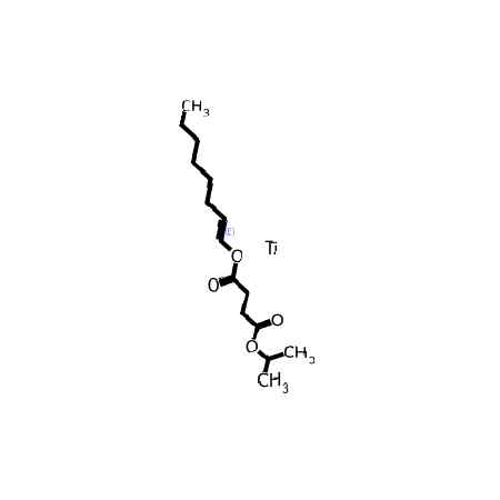 CCCCCC/C=C/OC(=O)CCC(=O)OC(C)C.[Ti]